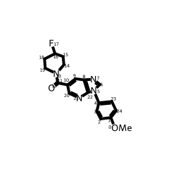 COc1ccc(-n2cnc3cc(C(=O)N4CCC(F)CC4)cnc32)cc1